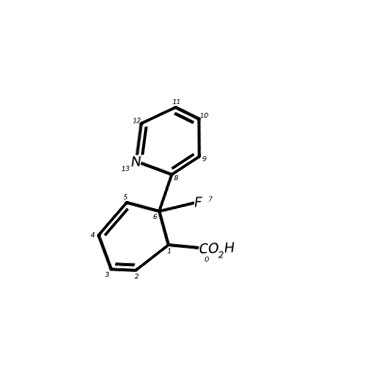 O=C(O)C1C=CC=CC1(F)c1ccccn1